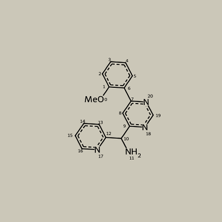 COc1ccccc1-c1cc(C(N)c2ccccn2)ncn1